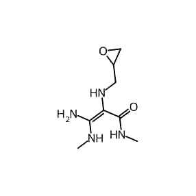 CNC(=O)/C(NCC1CO1)=C(/N)NC